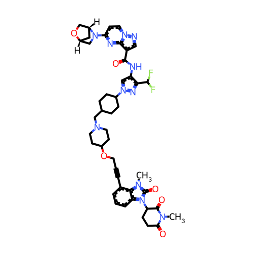 CN1C(=O)CCC(n2c(=O)n(C)c3c(C#CCOC4CCN(CC5CCC(n6cc(NC(=O)c7cnn8ccc(N9C[C@H]%10C[C@@H]9CO%10)nc78)c(C(F)F)n6)CC5)CC4)cccc32)C1=O